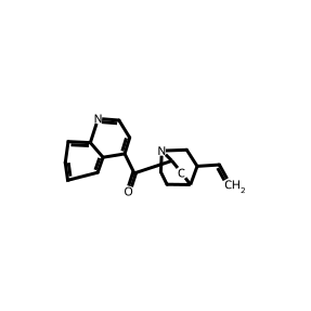 C=CC1CN2CCC1CC2C(=O)c1ccnc2ccccc12